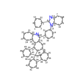 c1ccc(-c2nc3ccccc3n2-c2cccc(-c3nc4ccccc4c4c5c(ccc34)C3(c4ccccc4-c4ccccc43)c3ccccc3-5)c2)cc1